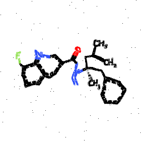 C=C(C)C[C@@](C)(Cc1ccccc1)NC(=O)c1cnc2c(F)cccc2c1